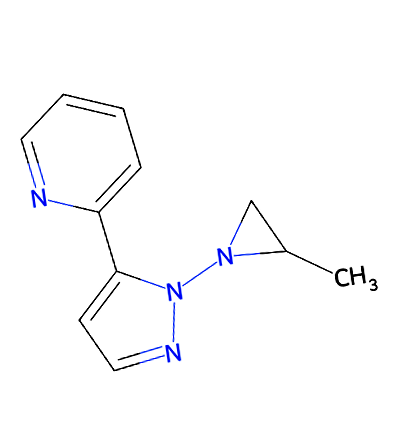 CC1CN1n1nccc1-c1ccccn1